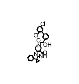 O=C([C@H](O)c1cccc(-c2cc(Cl)ccc2Cl)c1)N1CCc2nc(C3(c4ccccc4)CC3)[nH]c(=O)c2C1